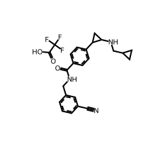 N#Cc1cccc(CNC(=O)c2ccc(C3CC3NCC3CC3)cc2)c1.O=C(O)C(F)(F)F